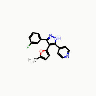 Cc1ccc(-c2c(-c3cccc(F)c3)n[nH]c2-c2ccncc2)o1